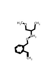 C=Cc1ccccc1CO[SiH2]C(CC)COC